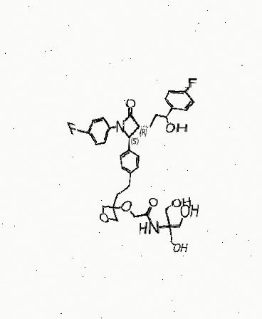 O=C(COC1(CCc2ccc([C@@H]3[C@@H](CCC(O)c4ccc(F)cc4)C(=O)N3c3ccc(F)cc3)cc2)COC1)NC(CO)(CO)CO